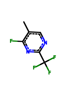 Cc1cnc(C(F)(F)F)nc1F